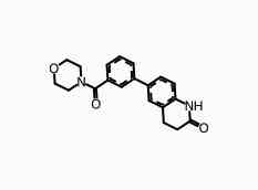 O=C1CCc2cc(-c3cccc(C(=O)N4CCOCC4)c3)ccc2N1